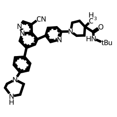 CC(C)(C)NC(=O)C1(C)CCN(c2ccc(-c3cc(-c4ccc(N5CCNCC5)cc4)cn4ncc(C#N)c34)cn2)CC1